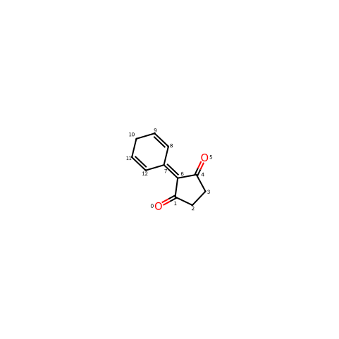 O=C1CCC(=O)C1=C1C=CCC=C1